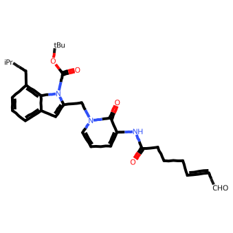 CC(C)Cc1cccc2cc(Cn3cccc(NC(=O)CCC/C=C/C=O)c3=O)n(C(=O)OC(C)(C)C)c12